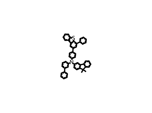 CC1(C)c2ccccc2-c2cc(N(c3ccc(-c4cc(-c5ccccc5)c5sc6ccccc6c5c4)cc3)c3cccc(-c4ccccc4)c3)ccc21